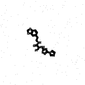 CC(C)C(Nc1nc(-n2ccnc2)ns1)C(=O)NCCc1ccc2c(c1)OCO2